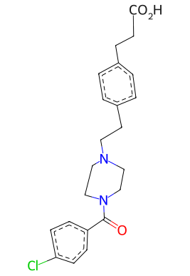 O=C(O)CCc1ccc(CCN2CCN(C(=O)c3ccc(Cl)cc3)CC2)cc1